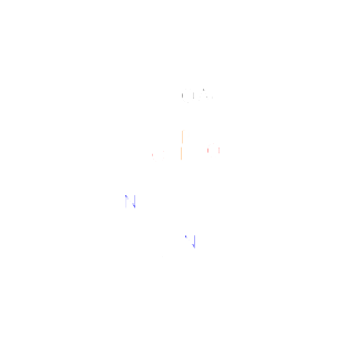 CC(=O)O[PH](=O)Oc1cnccn1